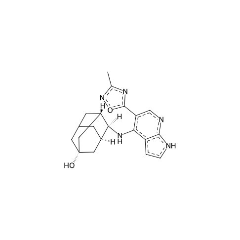 Cc1noc(-c2cnc3[nH]ccc3c2N[C@H]2[C@@H]3CC4C[C@H]2C[C@](O)(C4)C3)n1